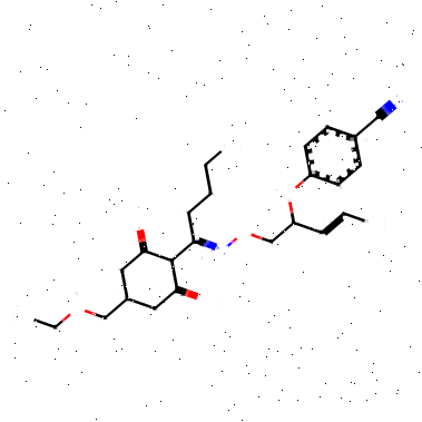 C/C=C/C(CO/N=C(\CCCC)C1C(=O)CC(COCC)CC1=O)Oc1ccc(C#N)cc1